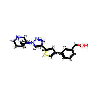 OCc1cccc(-c2csc(-c3cn(C4CN5CCC4CC5)nn3)c2)c1